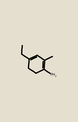 CCC1=CC(C)=C(P)CC1